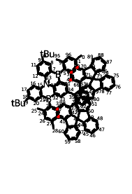 Cc1cc(C)c(B2c3cc(C(C)(C)C)ccc3N3c4ccc(C(C)(C)C)cc4B(c4c(C)cc(C)cc4C)c4cc(-c5c(-c6cccc7c6C6(c8ccccc8-c8ccccc86)c6ccccc6-7)cccc5-c5cccc6c5C5(c7ccccc7-c7ccccc75)c5ccccc5-6)cc2c43)c(C)c1